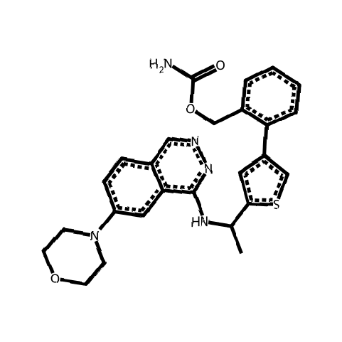 CC(Nc1nncc2ccc(N3CCOCC3)cc12)c1cc(-c2ccccc2COC(N)=O)cs1